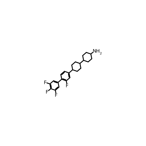 NC1CCC(C2CCC(c3ccc(-c4cc(F)c(F)c(F)c4)c(F)c3)CC2)CC1